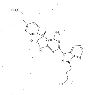 C[C@]1(c2ccc(CCC(=O)O)cc2)C(=O)Nc2nc(-c3nn(CCCC(F)(F)F)c4ncccc34)nc(N)c21